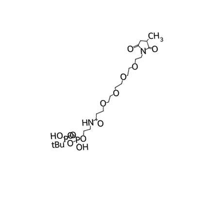 CC1CC(=O)N(CCOCCOCCOCCOCCC(=O)NCCOP(=O)(O)OP(=O)(O)C(C)(C)C)C1=O